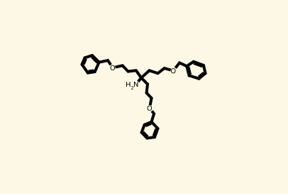 NC(CCCOCc1ccccc1)(CCCOCc1ccccc1)CCCOCc1ccccc1